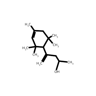 C=C(CC(C)O)C1C(C)(C)C=C(C)CC1(C)C